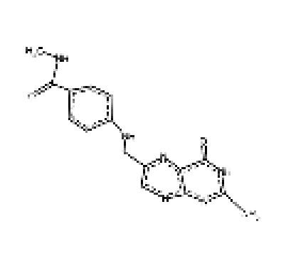 CNC(=O)c1ccc(NCc2cnc3nc(N)[nH]c(=O)c3n2)cc1